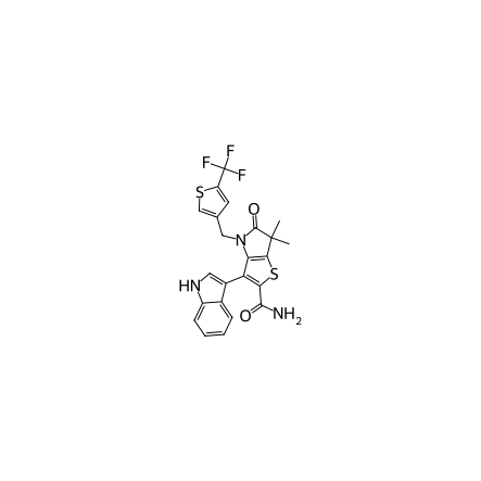 CC1(C)C(=O)N(Cc2csc(C(F)(F)F)c2)c2c1sc(C(N)=O)c2-c1c[nH]c2ccccc12